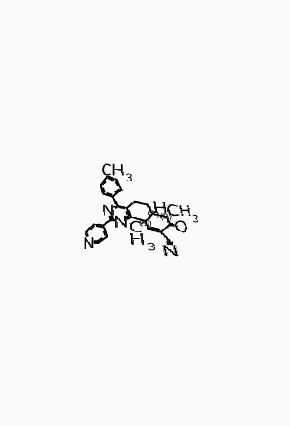 Cc1ccc(-c2nc(-c3ccncc3)nc3c2CC[C@@H]2[C@@H](C)C(=O)C(C#N)=C[C@@]32C)cc1